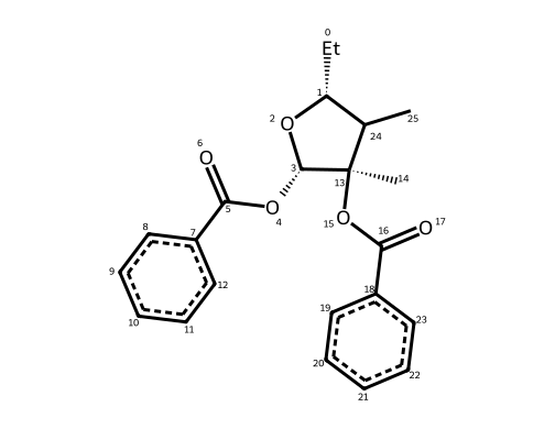 CC[C@H]1O[C@@H](OC(=O)c2ccccc2)[C@](C)(OC(=O)c2ccccc2)C1C